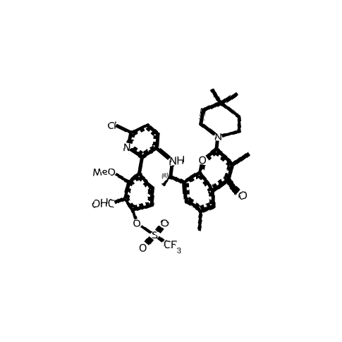 COc1c(-c2nc(Cl)ccc2N[C@H](C)c2cc(C)cc3c(=O)c(C)c(N4CCC(C)(C)CC4)oc23)ccc(OS(=O)(=O)C(F)(F)F)c1C=O